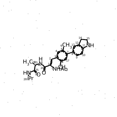 CC(=O)N/C(=C\c1cc(C)c(-c2ccc3c(c2)CCN3)cc1C)C(=O)N[C@H](C)C(=O)NC(C)C